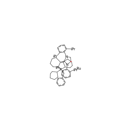 CC(C)c1cccc(C(C)C)c1N1CCN(c2c(C(C)C)cccc2C(C)C)C1=C1CCCCC1P(=Cc1ccccc1)(C1CCCCC1)C1CCCCC1.[Ru]